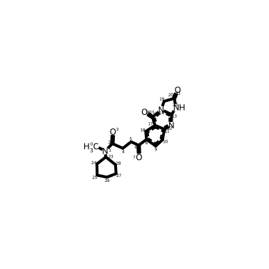 CN(C(=O)CCC(=O)c1ccc2nc3n(c(=O)c2c1)CC(=O)N3)C1CCCCC1